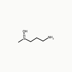 C[SiH](O)CCCN